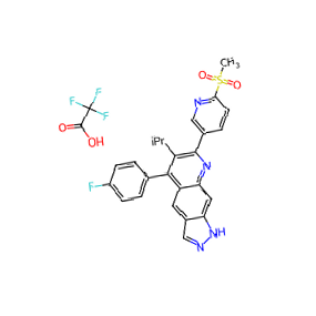 CC(C)c1c(-c2ccc(S(C)(=O)=O)nc2)nc2cc3[nH]ncc3cc2c1-c1ccc(F)cc1.O=C(O)C(F)(F)F